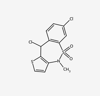 CN1c2ccsc2C(Cl)c2ccc(Cl)cc2S1(=O)=O